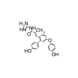 C/C(=C\c1ccc(Oc2ccc(O)cc2)cc1-c1ccc(O)cc1)C(=O)NC(=N)N